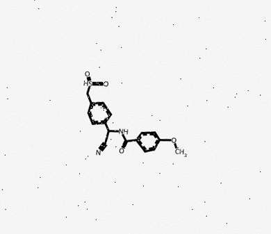 COc1ccc(C(=O)NC(C#N)c2ccc(C[SH](=O)=O)cc2)cc1